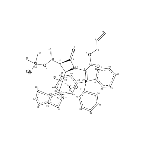 C=CCOC(=O)C(N1C(=O)[C@H]([C@@H](C)O[Si](C)(C)C(C)(C)C)[C@@H]1[C@@](C)(C=O)c1ncn2ccsc12)=P(c1ccccc1)(c1ccccc1)c1ccccc1